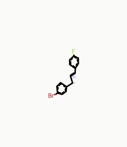 Fc1ccc(/C=C/[CH]c2ccc(Br)cc2)cc1